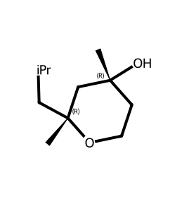 CC(C)C[C@]1(C)C[C@](C)(O)CCO1